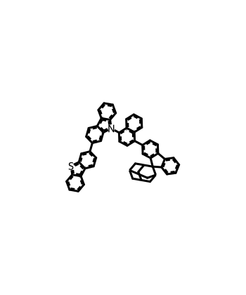 c1ccc2c(c1)-c1ccc(-c3ccc(-n4c5ccccc5c5ccc(-c6ccc7c(c6)sc6ccccc67)cc54)c4ccccc34)cc1C21C2CC3CC(C2)CC1C3